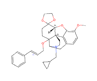 COc1ccc2c3c1O[C@H]1C4(CCC5(OC/C=C/c6ccccc6)C(C2)N(CC2CC2)CC[C@]315)OCCO4